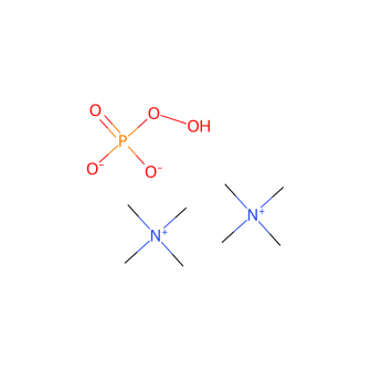 C[N+](C)(C)C.C[N+](C)(C)C.O=P([O-])([O-])OO